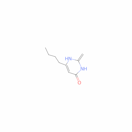 C=C1NC(=O)C=C(CCCC)N1